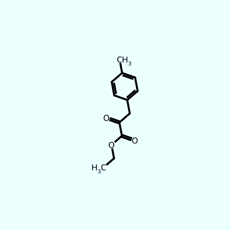 CCOC(=O)C(=O)Cc1ccc(C)cc1